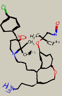 CC(C)(CN=O)OC1CCC2OCC[C@@H](CCCN)C(CCCN3CCC(O)(C4=CCC(Cl)CC4)C3(C)C)C2C1